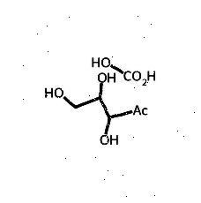 CC(=O)C(O)C(O)CO.O=C(O)O